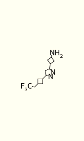 NC1CC(C2=NN=C(C3CC(CC(F)(F)F)C3)C2)C1